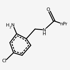 [CH2]CCC(=O)NCc1ccc(Cl)cc1N